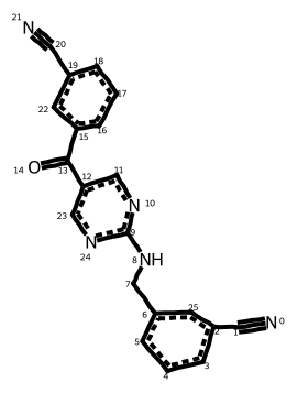 N#Cc1cccc(CNc2ncc(C(=O)c3cccc(C#N)c3)cn2)c1